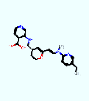 CCc1ccc(N(C)/C=C/C2=C[C@H](CNC3C=NC=CC3C(O)O)CCO2)nc1